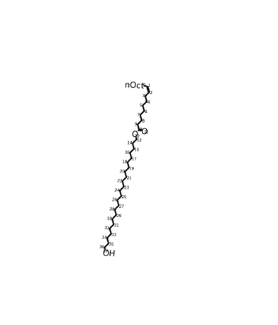 CCCCCCCC/C=C\CCCCCCCC(=O)OCCCCCCCCCCCCCCCCCCCCCCCCO